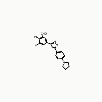 O=Cc1cc(-c2noc(-c3ccc(N4CCCC4)cc3)n2)cc(F)c1O